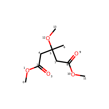 COC(=O)CC(C)(CC(=O)OC)OC